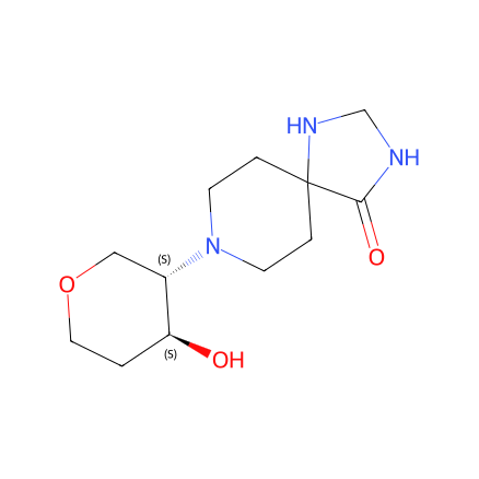 O=C1NCNC12CCN([C@H]1COCC[C@@H]1O)CC2